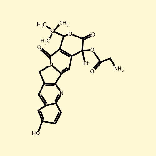 CCC1(OC(=O)CN)C(=O)OC([Si](C)(C)C)c2c1cc1n(c2=O)Cc2cc3cc(O)ccc3nc2-1